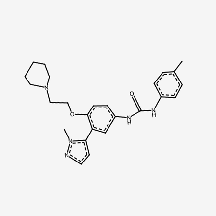 Cc1ccc(NC(=O)Nc2ccc(OCCN3CCCCC3)c(-c3ccnn3C)c2)cc1